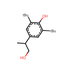 CC(CO)c1cc(C(C)(C)C)c(O)c(C(C)(C)C)c1